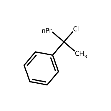 CCCC(C)(Cl)c1ccccc1